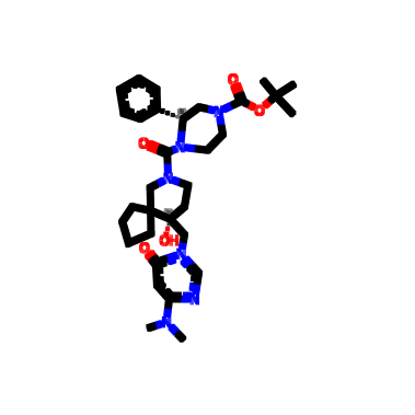 CN(C)c1cc(=O)n(C[C@]2(O)CCN(C(=O)N3CCN(C(=O)OC(C)(C)C)C[C@H]3c3ccccc3)CC23CCCC3)cn1